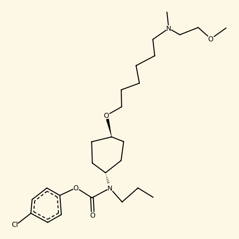 CCCN(C(=O)Oc1ccc(Cl)cc1)[C@H]1CC[C@H](OCCCCCCN(C)CCOC)CC1